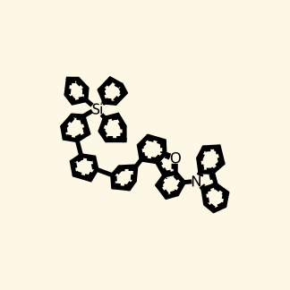 c1ccc([Si](c2ccccc2)(c2ccccc2)c2cccc(-c3cccc(-c4cccc(-c5cccc6oc7c(-n8c9ccccc9c9ccccc98)cccc7c56)c4)c3)c2)cc1